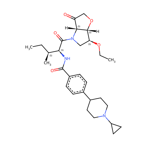 CCO[C@H]1CN(C(=O)[C@@H](NC(=O)c2ccc(C3CCN(C4CC4)CC3)cc2)[C@@H](C)CC)[C@@H]2C(=O)CO[C@H]12